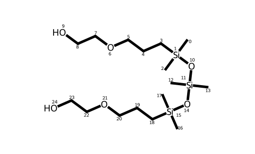 C[Si](C)(CCCOCCO)O[Si](C)(C)O[Si](C)(C)CCCOCCO